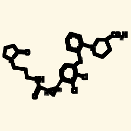 O=C(O)C1CCCN(c2ccccc2Sc2ccc([C@@H]3C[C@H]3C(=O)NCCCN3CCCC3=O)c(Cl)c2Cl)C1